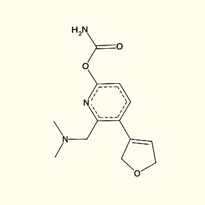 CN(C)Cc1nc(OC(N)=O)ccc1C1=CCOC1